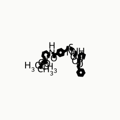 CC(C)(C)OC(=O)N1CCCC(NC(=O)c2ccc(-c3csc(NC(=O)[C@@H]4CCCN4C(=O)OCc4ccccc4)n3)cc2)C1